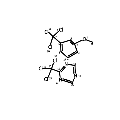 COc1cccc(C(Cl)(Cl)Cl)c1.ClC(Cl)(Cl)c1ncncn1